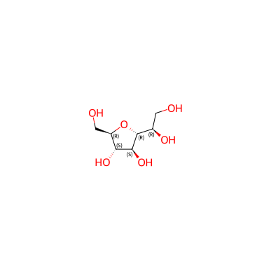 OC[C@@H](O)[C@H]1O[C@H](CO)[C@@H](O)[C@@H]1O